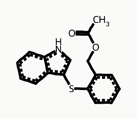 CC(=O)OCc1ccccc1Sc1c[nH]c2ccccc12